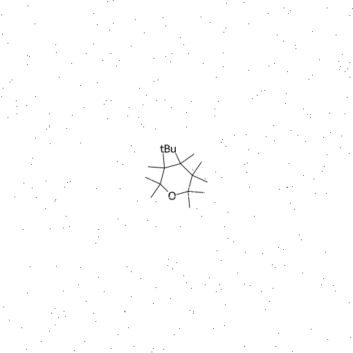 CC(C)(C)C1(C)C(C)(C)C(C)(C)OC(C)(C)C1(C)C